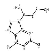 CCCCCCCCCC(CCO)n1cnc2c(Cl)nc(Cl)nc21